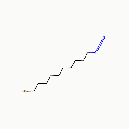 [N-]=[N+]=NCCCCCCCCCCS